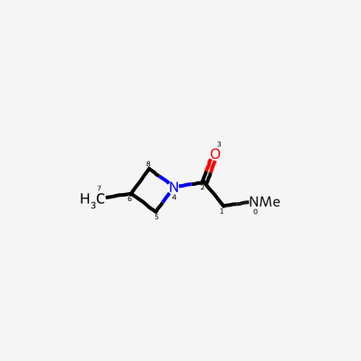 CNCC(=O)N1CC(C)C1